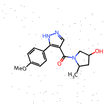 COc1ccc(-c2[nH]ncc2C(=O)N2CC(O)CC2C)cc1